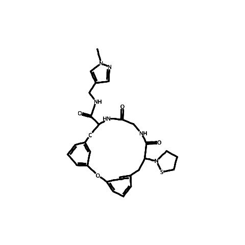 Cn1cc(CNC(=O)C2Cc3cccc(c3)Oc3cccc(c3)CC(N3CCCS3)C(=O)NCC(=O)N2)cn1